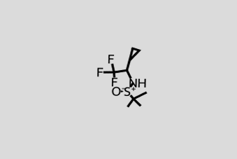 CC(C)(C)[S@+]([O-])NC(C1CC1)C(F)(F)F